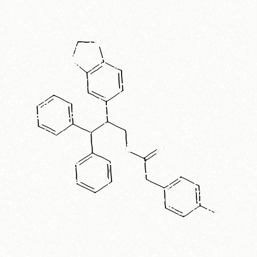 O=C(Cc1ccc(F)cc1)NCC(c1ccc2c(c1)OCO2)C(c1ccccc1)c1ccccc1